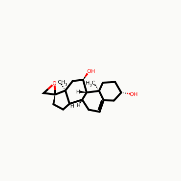 C[C@]12CC[C@H](O)CC1=CC[C@@H]1[C@@H]2[C@H](O)C[C@@]2(C)[C@H]1CC[C@]21CO1